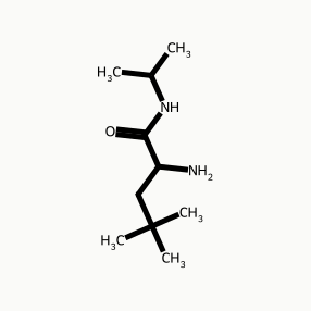 CC(C)NC(=O)C(N)CC(C)(C)C